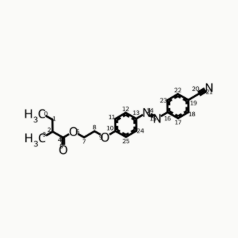 CCC(C)C(=O)OCCOc1ccc(N=Nc2ccc(C#N)cc2)cc1